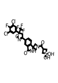 O=C1NC2(CN(C(=O)C3CS(O)(O)C3)C2)c2ccc(C3=NOC(c4cc(Cl)c(F)c(Cl)c4)(C(F)(F)F)C3)cc21